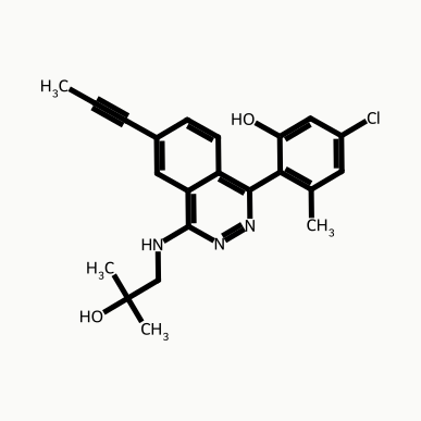 CC#Cc1ccc2c(-c3c(C)cc(Cl)cc3O)nnc(NCC(C)(C)O)c2c1